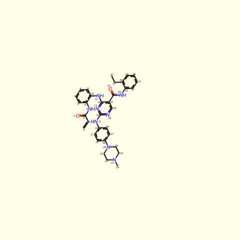 C=CC(=O)Nc1ccccc1Nc1nc(Nc2ccc(N3CCN(C)CC3)cc2)ncc1C(=O)Nc1ccccc1CC